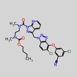 CCCCOC(=O)N(C)CCN(C)C(=O)n1nc(Cn2nnc3c(Oc4cc(Cl)cc(C#N)c4)c(Cl)ccc32)c2cccnc21